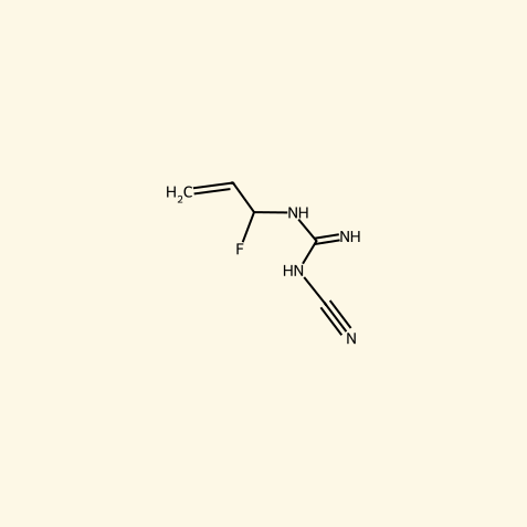 C=CC(F)NC(=N)NC#N